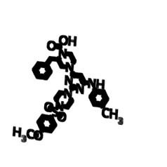 COc1ccc(S(=O)(=O)N2CCN(c3nc(Nc4ccc(C)cc4)cc(N4CCN(C(=O)O)C(Cc5ccccc5)C4)n3)CC2)cc1